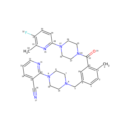 Cc1ccc(CN2CCN(c3ncccc3C#N)CC2)cc1C(=O)N1CCN(c2ccc(F)c(C)n2)CC1